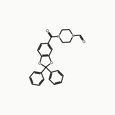 O=CN1CCN(C(=O)c2ccc3c(c2)OC(c2ccccc2)(c2ccccc2)O3)CC1